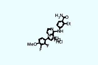 CCc1cc(Nc2nccn3c(-c4ccc(OC)c(F)c4F)cnc23)ccc1C(N)=O.Cl.Cl.Cl